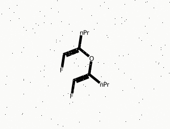 CCCC(=CF)OC(=CF)CCC